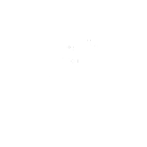 CCCCCC/C=C/C=C/C=C\C=C\[C@@H](O)[C@@H](O)CCCC(=O)OC